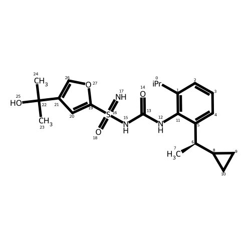 CC(C)c1cccc([C@H](C)C2CC2)c1NC(=O)NS(=N)(=O)c1cc(C(C)(C)O)co1